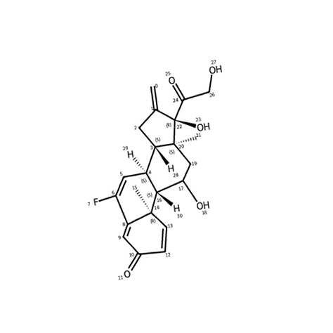 C=C1C[C@H]2[C@@H]3C=C(F)C4=CC(=O)C=C[C@]4(C)[C@H]3C(O)C[C@]2(C)[C@@]1(O)C(=O)CO